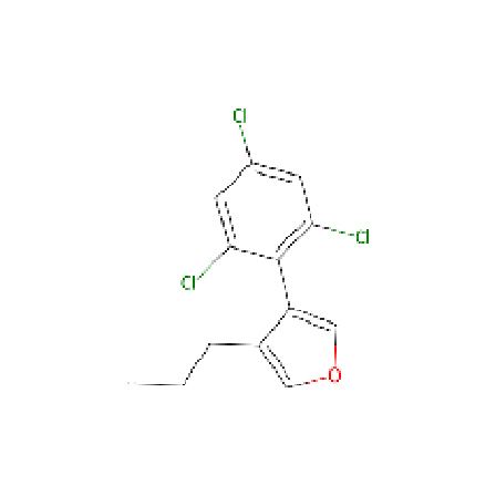 [CH2]CCc1cocc1-c1c(Cl)cc(Cl)cc1Cl